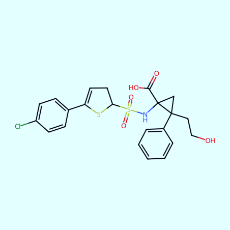 O=C(O)C1(NS(=O)(=O)C2CC=C(c3ccc(Cl)cc3)S2)CC1(CCO)c1ccccc1